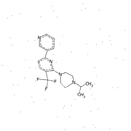 CC(C)N1CCN(c2nc(-c3cccnc3)ccc2C(F)(F)F)CC1